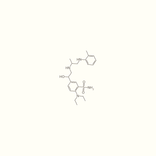 CCN(CC)c1ccc(C(O)CNC(C)CNc2ccccc2C)cc1S(N)(=O)=O